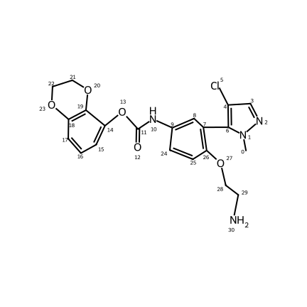 Cn1ncc(Cl)c1-c1cc(NC(=O)Oc2cccc3c2OCCO3)ccc1OCCN